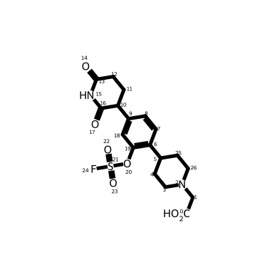 O=C(O)CN1CCC(c2ccc(C3CCC(=O)NC3=O)cc2OS(=O)(=O)F)CC1